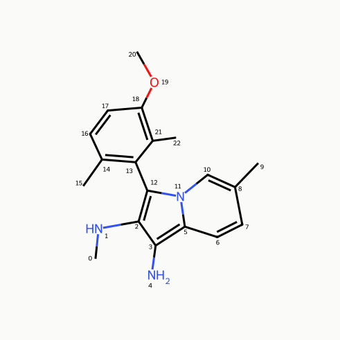 CNc1c(N)c2ccc(C)cn2c1-c1c(C)ccc(OC)c1C